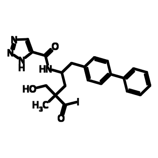 CC(CO)(CC(Cc1ccc(-c2ccccc2)cc1)NC(=O)c1cnn[nH]1)C(=O)I